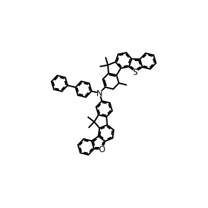 CC1CC(N(c2ccc(-c3ccccc3)cc2)c2ccc3c(c2)C(C)(C)c2c-3ccc3oc4ccccc4c23)=CC2=C1c1c(ccc3c1sc1ccccc13)C2(C)C